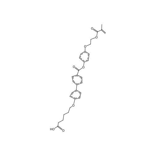 C=C(C)C(=O)OCCOc1ccc(OC(=O)c2ccc(-c3ccc(OCCCCCC(=O)O)cc3)cc2)cc1